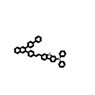 C(=C\c1ccc2c(c1)sc1cc(N(c3ccccc3)c3ccccc3)ccc12)/c1ccc(-c2cc3ccccc3cc2-c2ccc(-c3ccccc3)cc2)cc1